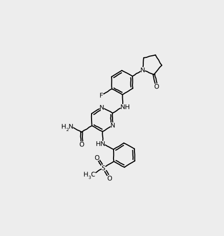 CS(=O)(=O)c1ccccc1Nc1nc(Nc2cc(N3CCCC3=O)ccc2F)ncc1C(N)=O